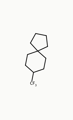 FC(F)(F)C1CCC2(CCCC2)CC1